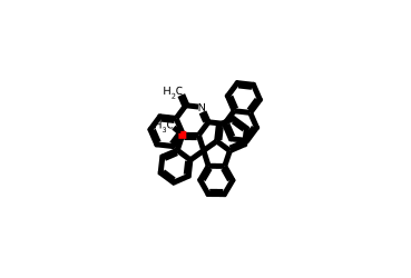 C=C(/N=C(\C1=C(C)c2ccccc2C12c1ccccc1-c1ccccc12)c1cccc2ccccc12)c1ccccc1